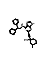 CC1CCCC(O)(C#Cc2nc(NCC(c3ccccc3)c3ccccc3)c3nc[nH]c3n2)C1